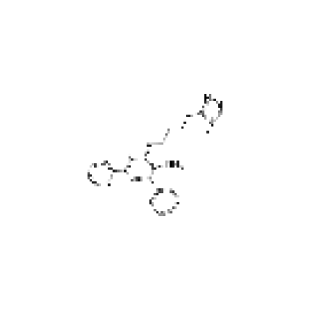 Cn1ccnc1CCCC/C=C1/N=C(c2ccccc2)C=C(c2ccccc2)N1N